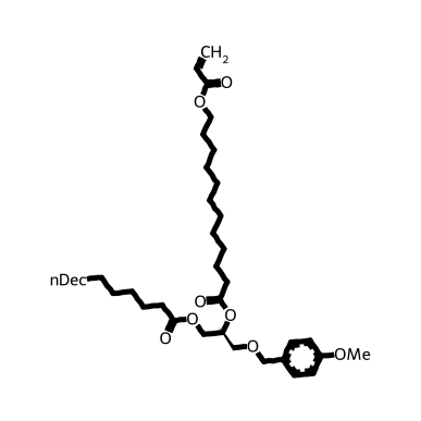 C=CC(=O)OCCCCCCCCCCCC(=O)O[C@@H](COCc1ccc(OC)cc1)COC(=O)CCCCCCCCCCCCCCC